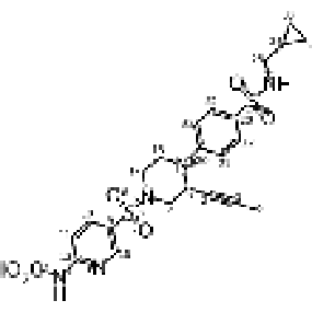 CC#C[C@H]1CN(S(=O)(=O)c2ccc(NC(=O)O)nc2)CCN1c1ccc(S(=O)(=O)NCC2CC2)cc1